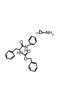 NC1C[C@H]1c1ccc(NC(=O)C(Cc2ccccc2)NC(=O)OCc2ccccc2)cc1